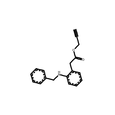 C#CCOC(=O)Cc1ccccc1NCc1ccccc1